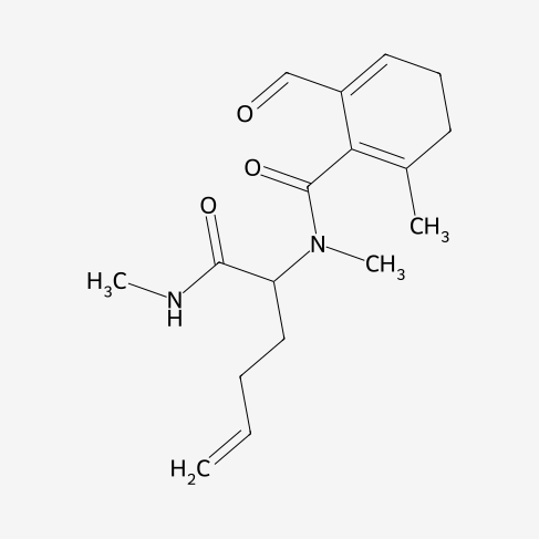 C=CCCC(C(=O)NC)N(C)C(=O)C1=C(C)CCC=C1C=O